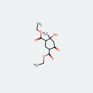 CCOC(=O)C1CC(C(=O)OCC)C(C)(O)CC1=O